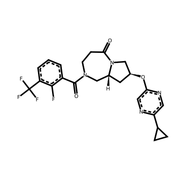 O=C(c1cccc(C(F)(F)F)c1F)N1CCC(=O)N2C[C@@H](Oc3cnc(C4CC4)cn3)C[C@@H]2C1